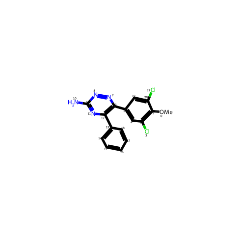 COc1c(Cl)cc(-c2nnc(N)nc2-c2ccccc2)cc1Cl